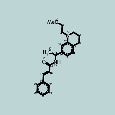 COCCN1CCCc2ccc(C(C)NC(=O)C=Cc3ccccc3)cc21